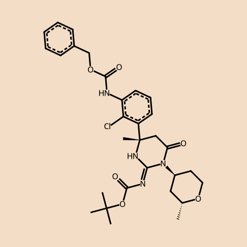 C[C@@H]1C[C@@H](N2C(=O)C[C@@](C)(c3cccc(NC(=O)OCc4ccccc4)c3Cl)N/C2=N\C(=O)OC(C)(C)C)CCO1